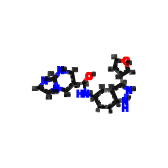 O=C(Nc1ccc2[nH]nc(-c3ccoc3)c2c1)c1cnc2nccn2c1